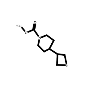 CC(C)(C)OC(=O)N1CCC(C2CSC2)CC1